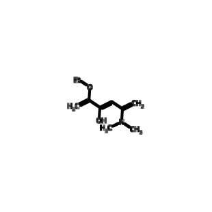 C=C(OCC)/C(O)=C/C(=C)N(C)C